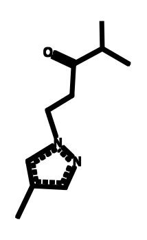 Cc1cnn(CCC(=O)C(C)C)c1